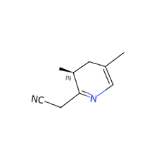 CC1=CN=C(CC#N)[C@@H](C)C1